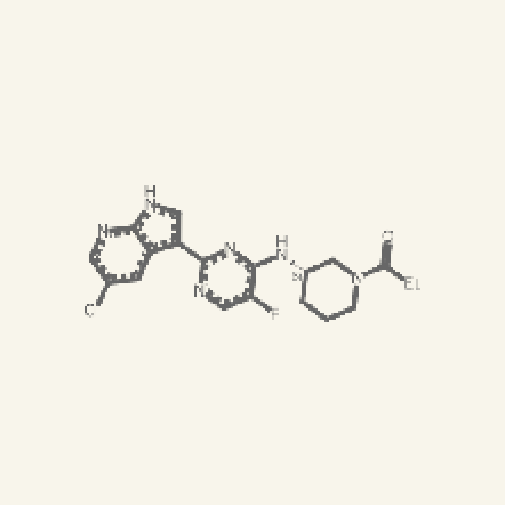 CCC(=O)N1CCC[C@H](Nc2nc(-c3c[nH]c4ncc(Cl)cc34)ncc2F)C1